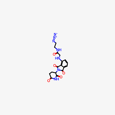 [N-]=[N+]=NCCNC(=O)CNc1cccc2c1C(=O)N(C1CCC(=O)NC1=O)C2=O